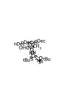 CCCCCCCCCCCCC(CCCCCCCCCC)CN(C)c1cc2nc3c4cc(-c5ccc(C(C)(C)C)c6nsnc56)sc4c4sc(C(C)(C)C)cc4c3nc2cc1N(C=O)CC(CCCCCCCCCC)CCCCCCCCCCCC